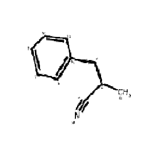 CC(C#N)Cc1cc[c]cc1